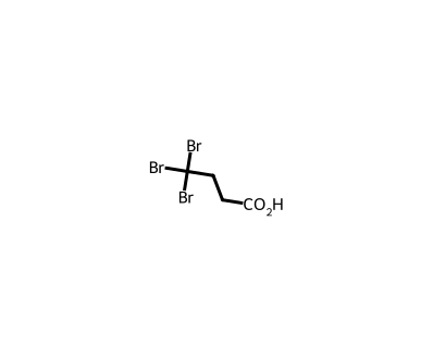 O=C(O)CCC(Br)(Br)Br